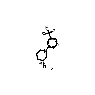 N[C@@H]1CCCN(c2cncc(C(F)(F)F)c2)C1